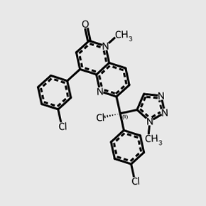 Cn1nncc1[C@@](Cl)(c1ccc(Cl)cc1)c1ccc2c(n1)c(-c1cccc(Cl)c1)cc(=O)n2C